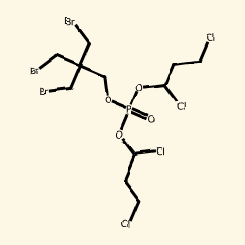 O=P(OCC(CBr)(CBr)CBr)(OC(Cl)CCCl)OC(Cl)CCCl